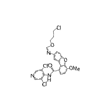 COc1ccc(C(=O)Nc2c(Cl)cncc2Cl)c2c1oc1ccc(/N=C\OCCCCl)cc12